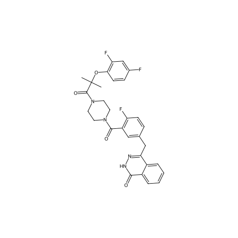 CC(C)(Oc1ccc(F)cc1F)C(=O)N1CCN(C(=O)c2cc(Cc3n[nH]c(=O)c4ccccc34)ccc2F)CC1